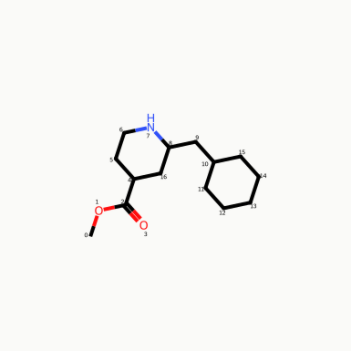 COC(=O)C1CCNC(CC2CCCCC2)C1